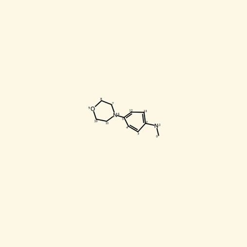 C[N]c1ccc(N2CCOCC2)cc1